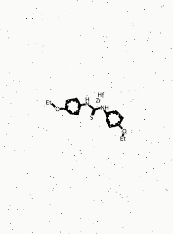 CCOc1ccc(NC(=S)Nc2ccc(OCC)cc2)cc1.[Hf].[Zr]